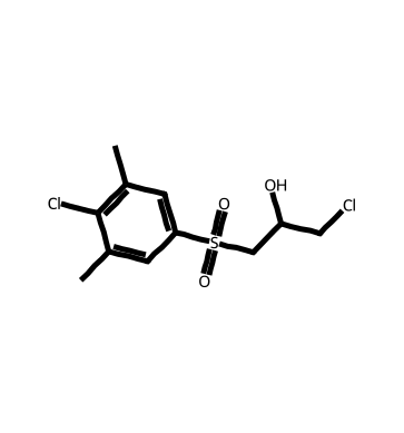 Cc1cc(S(=O)(=O)CC(O)CCl)cc(C)c1Cl